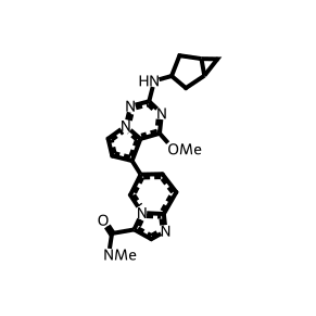 CNC(=O)c1cnc2ccc(-c3ccn4nc(NC5CC6CC6C5)nc(OC)c34)cn12